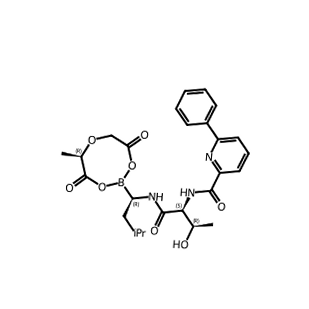 CC(C)C[C@H](NC(=O)[C@@H](NC(=O)c1cccc(-c2ccccc2)n1)[C@@H](C)O)B1OC(=O)CO[C@H](C)C(=O)O1